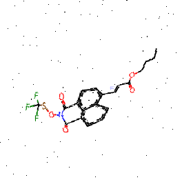 CCCCOC(=O)/C=C/c1ccc2c3c(cccc13)C(=O)N(OSC(F)(F)F)C2=O